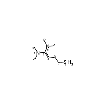 CN(C)C(=CCC[SiH3])N(C)C